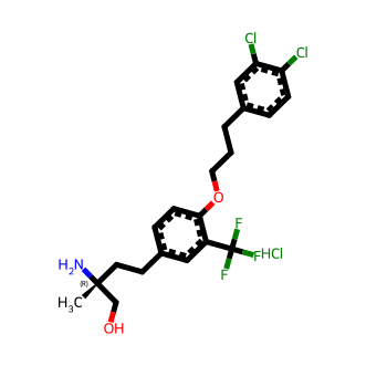 C[C@](N)(CO)CCc1ccc(OCCCc2ccc(Cl)c(Cl)c2)c(C(F)(F)F)c1.Cl